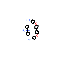 NC(N)(c1ccccc1)c1ccccc1.Nc1ccc(Oc2ccc(-c3ccc(Oc4ccc(N)cc4)cc3)cc2)cc1